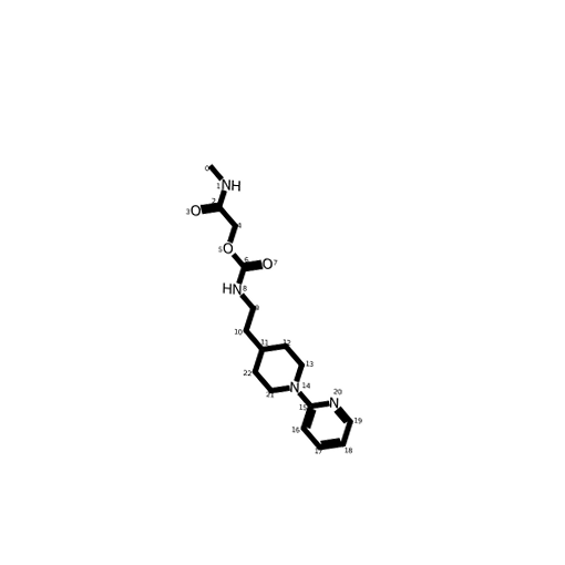 CNC(=O)COC(=O)NCCC1CCN(c2ccccn2)CC1